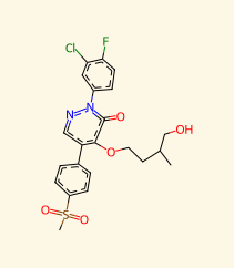 CC(CO)CCOc1c(-c2ccc(S(C)(=O)=O)cc2)cnn(-c2ccc(F)c(Cl)c2)c1=O